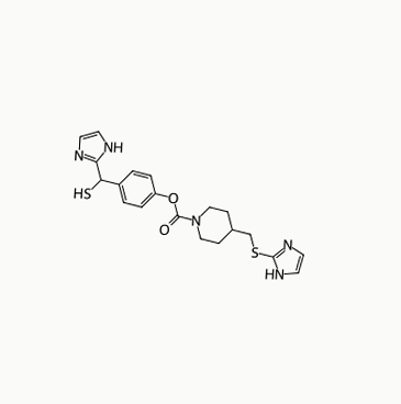 O=C(Oc1ccc(C(S)c2ncc[nH]2)cc1)N1CCC(CSc2ncc[nH]2)CC1